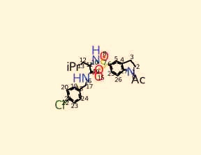 CC(=O)N1CCc2cc(S(=O)(=O)NC(CC(C)C)C(=O)NCc3ccc(Cl)cc3)ccc21